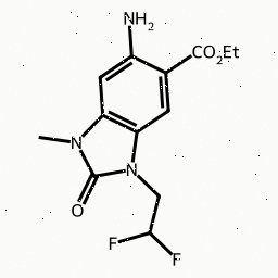 CCOC(=O)c1cc2c(cc1N)n(C)c(=O)n2CC(F)F